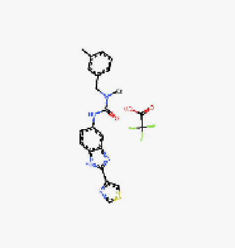 CCN(Cc1cccc(C)c1)C(=O)Nc1ccc2[nH]c(-c3cscn3)nc2c1.O=C(O)C(F)(F)F